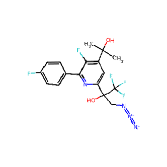 CC(C)(O)c1cc(C(O)(CN=[N+]=[N-])C(F)(F)F)nc(-c2ccc(F)cc2)c1F